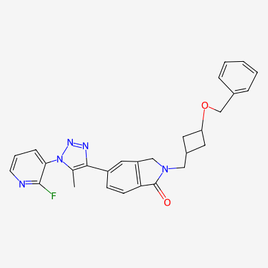 Cc1c(-c2ccc3c(c2)CN(CC2CC(OCc4ccccc4)C2)C3=O)nnn1-c1cccnc1F